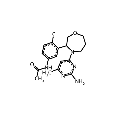 CC(=O)Nc1ccc(Cl)c(C2COCCCN2c2cc(C)nc(N)n2)c1